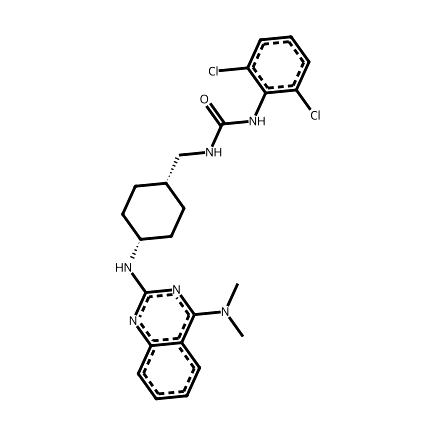 CN(C)c1nc(N[C@H]2CC[C@@H](CNC(=O)Nc3c(Cl)cccc3Cl)CC2)nc2ccccc12